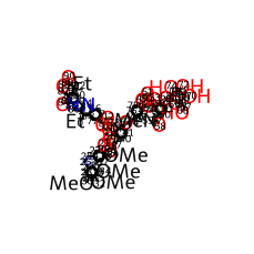 CCc1c2c(nc3ccc(OS(=O)(=O)Cc4cc(CS(=O)(=O)Oc5cc(/C=C\c6cc(OC)c(OC)c(OC)c6)ccc5OC)ccc4OCc4ccc(OS(=O)(=O)Oc5cc(C(=O)NC)ccc5O[C@@H]5O[C@H](CO)[C@H](O)[C@H](O)[C@H]5O)cc4)cc13)-c1cc3c(c(=O)n1C2)COC(=O)[C@H]3CC